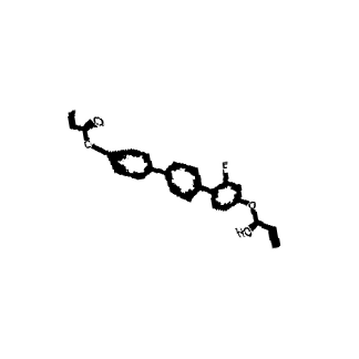 C=CC(=O)Oc1ccc(-c2ccc(-c3ccc(OC(O)C=C)cc3F)cc2)cc1